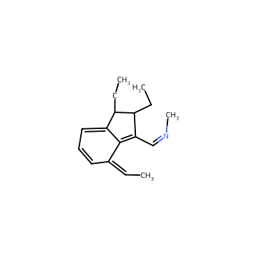 C/C=c1/cccc2c1=C(/C=N\C)C(CC)C2CC